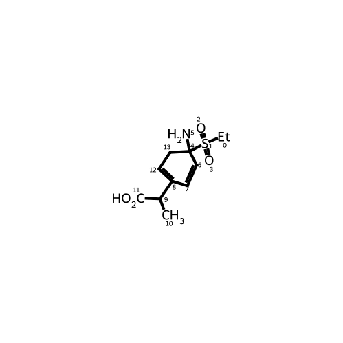 CCS(=O)(=O)C1(N)C=CC(C(C)C(=O)O)=CC1